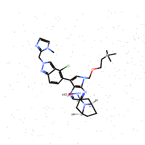 Cn1ccnc1Cn1cc2c(Cl)c(-c3cn(COCC[Si](C)(C)C)c4nc(N5[C@@H]6CC[C@H]5C[C@@H](NC(=O)O)C6)cnc34)ccc2n1